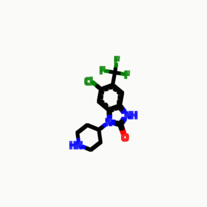 O=c1[nH]c2cc(C(F)(F)F)c(Cl)cc2n1C1CCNCC1